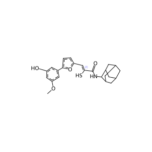 COc1cc(O)cc(-c2ccc(/C=C(\S)C(=O)NC3C4CC5CC(C4)CC3C5)o2)c1